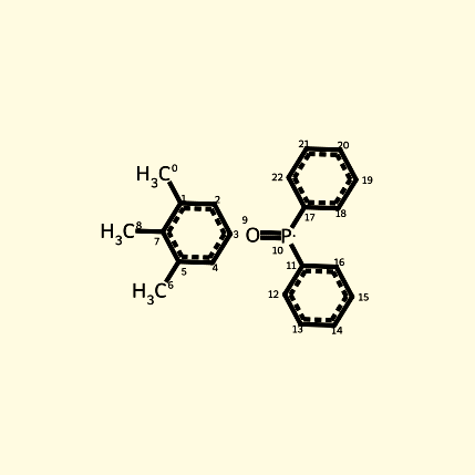 Cc1cccc(C)c1C.O=[P](c1ccccc1)c1ccccc1